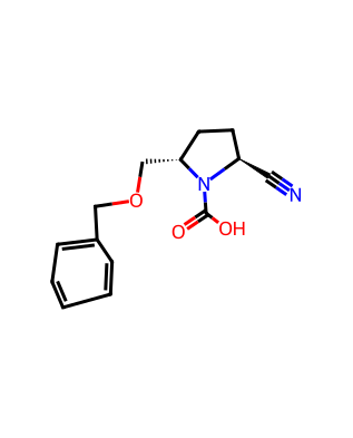 N#C[C@@H]1CC[C@@H](COCc2ccccc2)N1C(=O)O